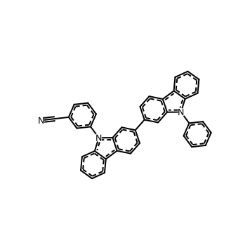 N#Cc1cccc(-n2c3ccccc3c3ccc(-c4ccc5c6ccccc6n(-c6ccccc6)c5c4)cc32)c1